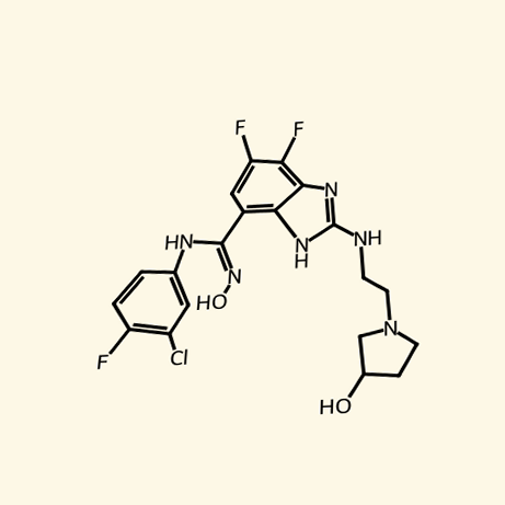 ON=C(Nc1ccc(F)c(Cl)c1)c1cc(F)c(F)c2nc(NCCN3CCC(O)C3)[nH]c12